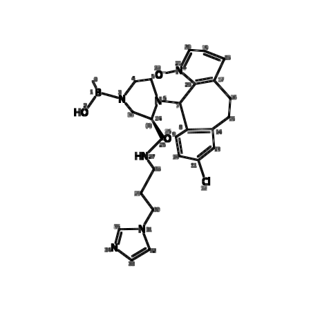 CB(O)N1CCN(C2c3ccc(Cl)cc3CCc3ccc[n+]([O-])c32)[C@@H](C(=O)NCCCn2ccnc2)C1